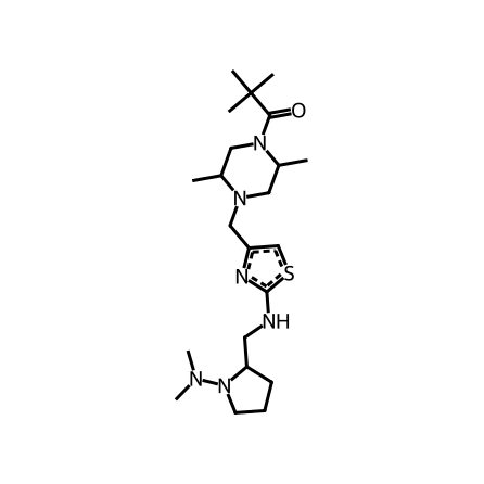 CC1CN(C(=O)C(C)(C)C)C(C)CN1Cc1csc(NCC2CCCN2N(C)C)n1